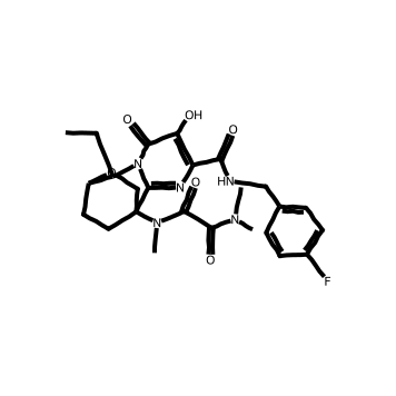 CCC1C2CCC(N(C)C(=O)C(=O)N(C)C)(CO2)c2nc(C(=O)NCc3ccc(F)cc3)c(O)c(=O)n21